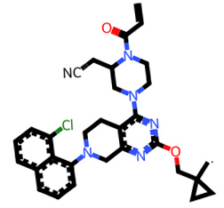 [CH2]C1(COc2nc3c(c(N4CCN(C(=O)C=C)C(CC#N)C4)n2)CCN(c2cccc4cccc(Cl)c24)C3)CC1